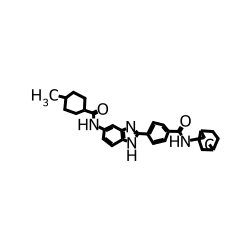 CC1CCC(C(=O)Nc2ccc3[nH]c(-c4ccc(C(=O)NC5CC6CCC5CC6)cc4)nc3c2)CC1